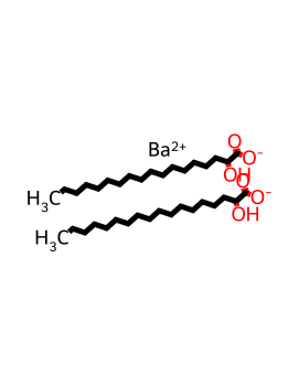 CCCCCCCCCCCCCCCCC(O)C(=O)[O-].CCCCCCCCCCCCCCCCC(O)C(=O)[O-].[Ba+2]